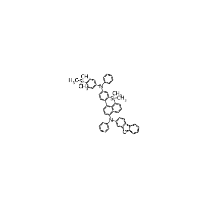 C[Si](C)(C)c1ccc(N(c2ccccc2)c2ccc3c(c2)[Si](C)(C)c2cccc4c(N(c5ccccc5)c5ccc6c(c5)oc5ccccc56)ccc-3c24)cc1